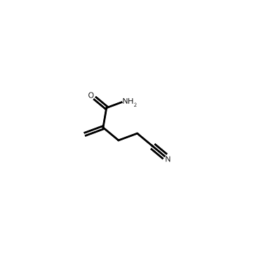 C=C(CCC#N)C(N)=O